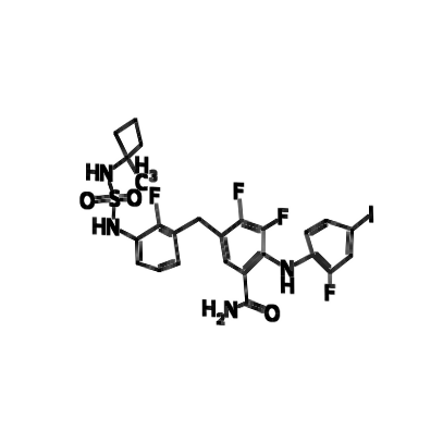 CC1(NS(=O)(=O)Nc2cccc(Cc3cc(C(N)=O)c(Nc4ccc(I)cc4F)c(F)c3F)c2F)CCC1